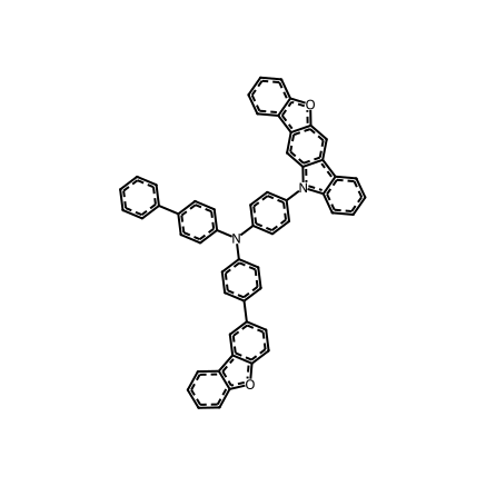 c1ccc(-c2ccc(N(c3ccc(-c4ccc5oc6ccccc6c5c4)cc3)c3ccc(-n4c5ccccc5c5cc6oc7ccccc7c6cc54)cc3)cc2)cc1